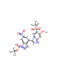 COc1cc2ncc(-c3cc([N+](=O)[O-])cc4c3cnn4C(=O)OC(C)(C)C)n2cc1S(=O)(=O)C(C)(C)C